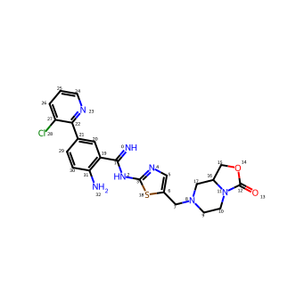 N=C(Nc1ncc(CN2CCN3C(=O)OCC3C2)s1)c1cc(-c2ncccc2Cl)ccc1N